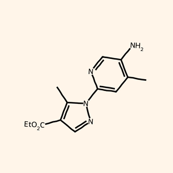 CCOC(=O)c1cnn(-c2cc(C)c(N)cn2)c1C